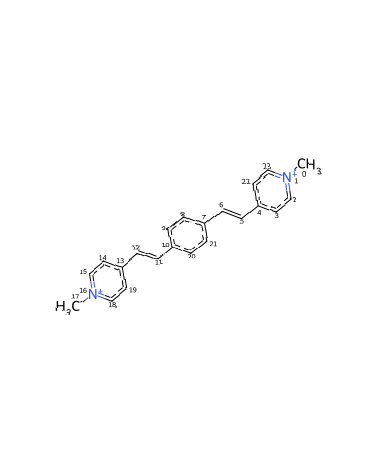 C[n+]1ccc(/C=C/c2ccc(/C=C/c3cc[n+](C)cc3)cc2)cc1